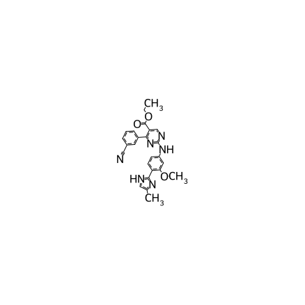 CCOC(=O)c1cnc(Nc2ccc(-c3nc(C)c[nH]3)c(OC)c2)nc1-c1cccc(C#N)c1